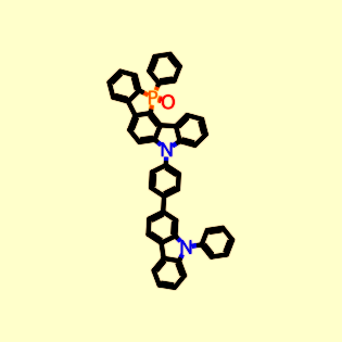 O=P1(c2ccccc2)c2ccccc2-c2ccc3c(c21)c1ccccc1n3-c1ccc(-c2ccc3c4ccccc4n(-c4ccccc4)c3c2)cc1